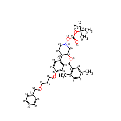 Cc1ccc(C)c(COC2CN(OC(=O)OC(C)(C)C)CCC2c2ccc(OCCCOCc3ccccc3)cc2)c1